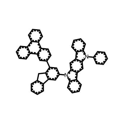 c1ccc(-n2c3ccccc3c3cc4c(cc32)c2ccccc2n4-c2cc(-c3ccc4c5ccccc5c5ccccc5c4c3)c3c(c2)-c2ccccc2C3)cc1